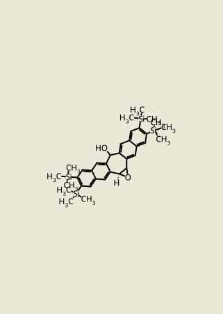 C[Si](C)(C)c1cc2cc3c(cc2cc1[Si](C)(C)C)C1O[C@H]1c1cc2cc([Si](C)(C)C)c([Si](C)(C)C)cc2cc1C3O